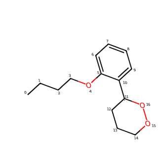 CCCCOc1ccccc1[C]1CCCOO1